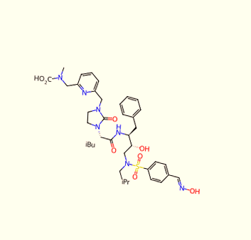 CC[C@H](C)[C@@H](C(=O)N[C@@H](Cc1ccccc1)[C@H](O)CN(CC(C)C)S(=O)(=O)c1ccc(/C=N/O)cc1)N1CCN(Cc2cccc(CN(C)C(=O)O)n2)C1=O